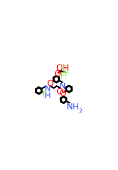 NCc1cccc(Oc2ccccc2N(Cc2ccccc2)C(=O)CCC(=O)NCc2ccccc2F)c1.O=C(O)C(F)(F)F